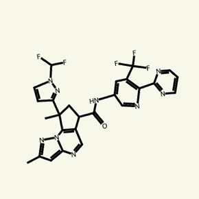 Cc1cc2ncc3c(n2n1)C(C)(c1ccn(C(F)F)n1)CC3C(=O)Nc1cnc(-c2ncccn2)c(C(F)(F)F)c1